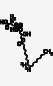 [3H][C@@H](CCCCCCCC)[C@@H]([3H])CCCCCCCC(=O)OC[C@@H](O)COP(=O)(O)OC[C@H](N)C(=O)O